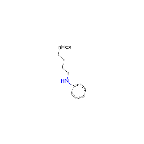 CCCCCCCCCCNc1ccccc1